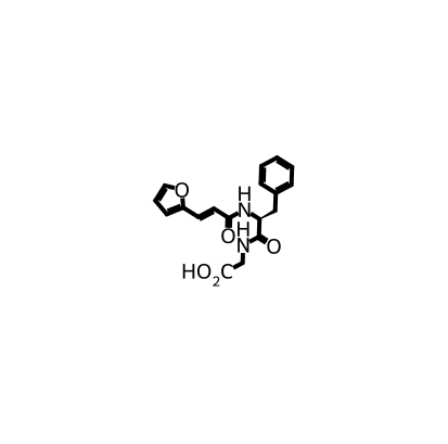 O=C(O)CNC(=O)[C@H](Cc1ccccc1)NC(=O)C=Cc1ccco1